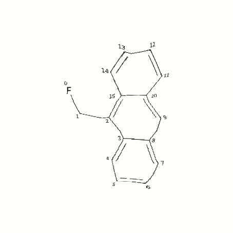 FCc1c2ccccc2cc2ccccc12